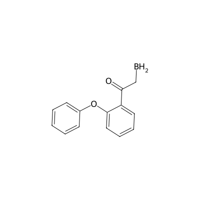 BCC(=O)c1ccccc1Oc1ccccc1